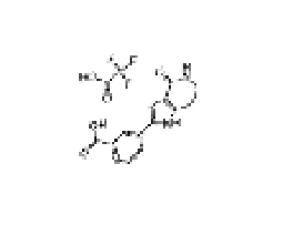 O=C(O)C(F)(F)F.O=C(O)c1cc(-c2cc3c([nH]2)CCNC3=O)ccn1